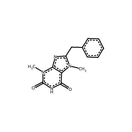 Cn1c(Cc2ccccc2)nc2c1c(=O)[nH]c(=O)n2C